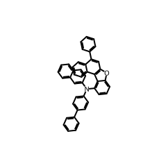 c1ccc(-c2ccc(N(c3ccc4ccccc4c3)c3cccc4oc5cc(-c6ccccc6)c6ccccc6c5c34)cc2)cc1